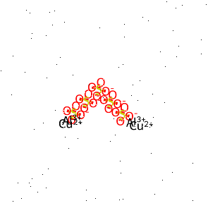 O=S(=O)([O-])[O-].O=S(=O)([O-])[O-].O=S(=O)([O-])[O-].O=S(=O)([O-])[O-].O=S(=O)([O-])[O-].[Al+3].[Al+3].[Cu+2].[Cu+2]